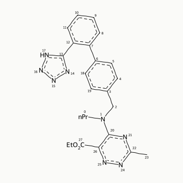 CCCN(Cc1ccc(-c2ccccc2-c2nnn[nH]2)cc1)c1nc(C)nnc1C(=O)OCC